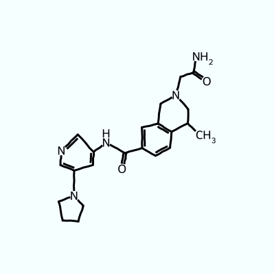 CC1CN(CC(N)=O)Cc2cc(C(=O)Nc3cncc(N4CCCC4)c3)ccc21